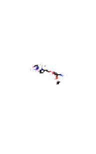 CC(C)COC(=O)C(CN)CCCOCCCc1cccc2c1n(C)c(=O)n2C1CCC(=O)NC1=O